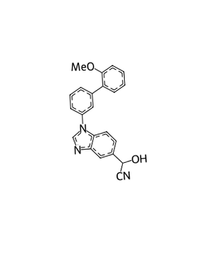 COc1ccccc1-c1cccc(-n2cnc3cc(C(O)C#N)ccc32)c1